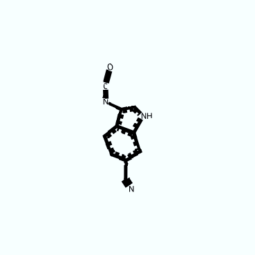 N#Cc1ccc2c(N=C=O)c[nH]c2c1